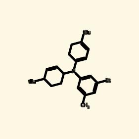 CCc1cc(C)cc(N(C2=CC=C(C(C)(C)C)CC2)C2C=CC(C(C)(C)C)CC2)c1